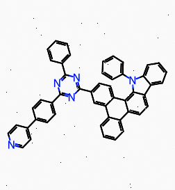 c1ccc(-c2nc(-c3ccc(-c4ccncc4)cc3)nc(-c3ccc4c(c3)c3ccccc3c3ccc5c6ccccc6n(-c6ccccc6)c5c34)n2)cc1